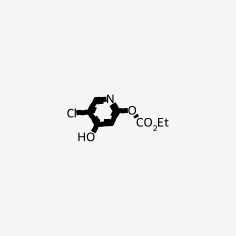 CCOC(=O)Oc1cc(O)c(Cl)cn1